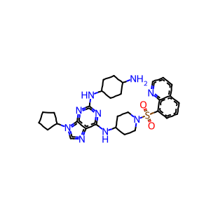 NC1CCC(Nc2nc(NC3CCN(S(=O)(=O)c4cccc5cccnc45)CC3)c3ncn(C4CCCC4)c3n2)CC1